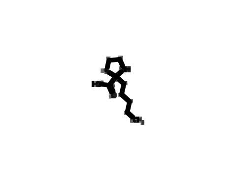 CCCCCC1(C(=O)O)NCCS1